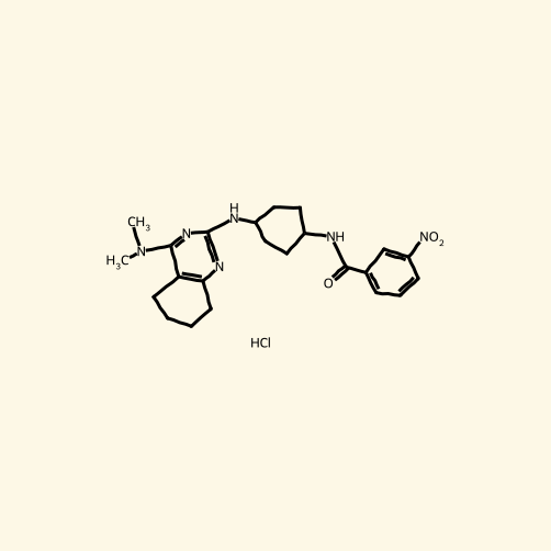 CN(C)c1nc(NC2CCC(NC(=O)c3cccc([N+](=O)[O-])c3)CC2)nc2c1CCCC2.Cl